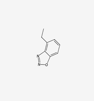 CCc1cccc2onnc12